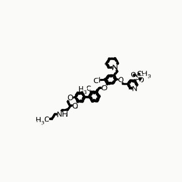 CCCNCCC1COc2ccc(-c3cccc(COc4cc(OCc5cncc(S(C)(=O)=O)c5)c(CN5CCCCC5)cc4Cl)c3C)cc2O1